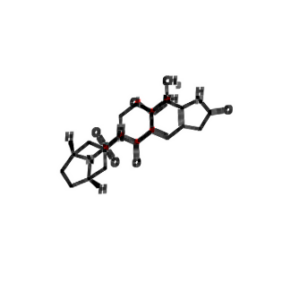 CNC1CCN(S(=O)(=O)N2[C@@H]3CC[C@H]2CC(NC(=O)c2cc4c(cc2Cl)NC(=O)C4)C3)CC1